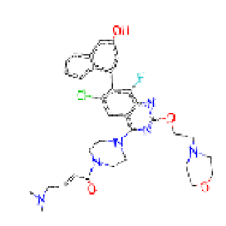 CN(C)CC=CC(=O)N1CCN(c2nc(OCCN3CCOCC3)nc3c(F)c(-c4cc(O)cc5ccccc45)c(Cl)cc23)CC1